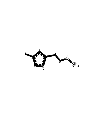 Cc1csc(CCO[SiH3])c1